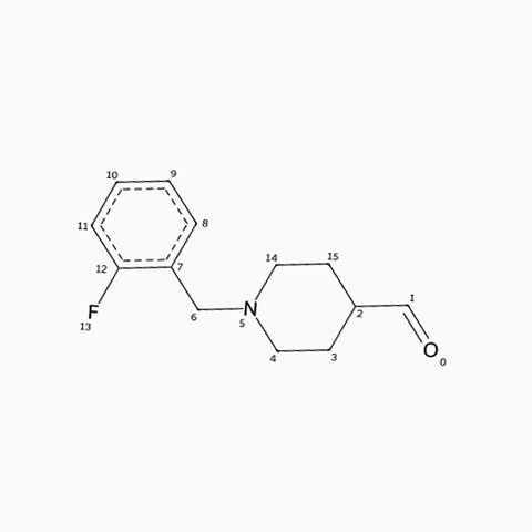 O=CC1CCN(Cc2ccccc2F)CC1